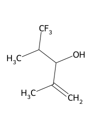 C=C(C)C(O)C(C)C(F)(F)F